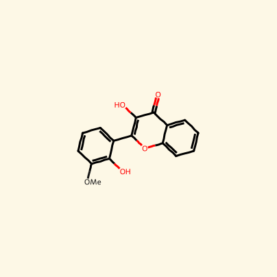 COc1cccc(-c2oc3ccccc3c(=O)c2O)c1O